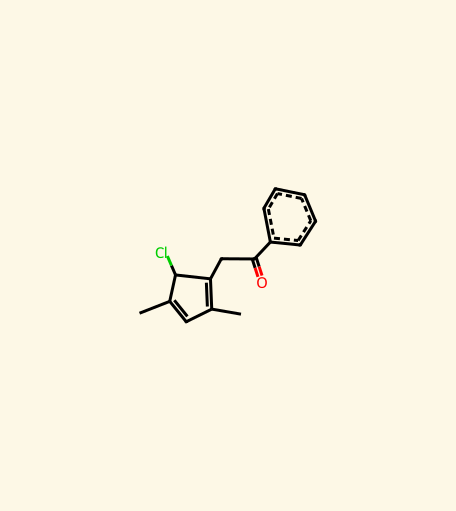 CC1=CC(C)=C(CC(=O)c2ccccc2)C1Cl